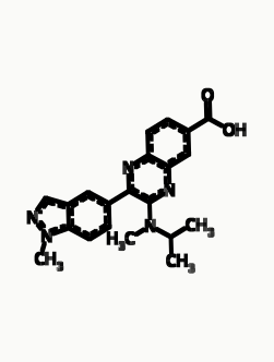 CC(C)N(C)c1nc2cc(C(=O)O)ccc2nc1-c1ccc2c(cnn2C)c1